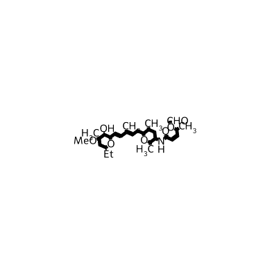 CC[C@@H]1CC(C)(OC)[C@H](O)C(/C=C/C(C)=C/CC2OC(C)C(NC(=O)/C=C\C(C)OC=O)CC2C)O1